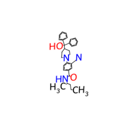 CCCC(C)NC(=O)c1ccc(N2CCC(C(O)(c3ccccc3)c3ccccc3)CC2)c(C#N)c1